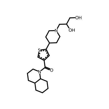 O=C(c1csc(C2CCN(CC(O)CO)CC2)c1)N1CCCC2CCCCC21